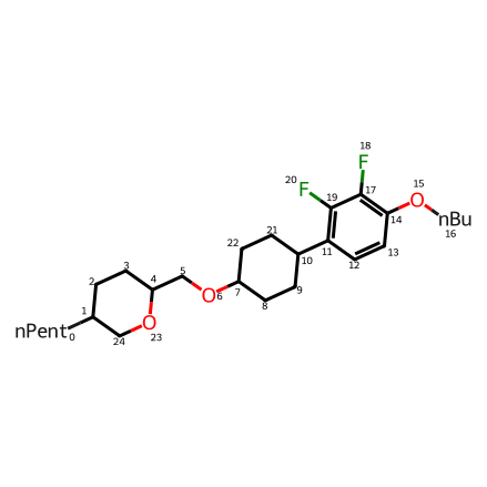 CCCCCC1CCC(COC2CCC(c3ccc(OCCCC)c(F)c3F)CC2)OC1